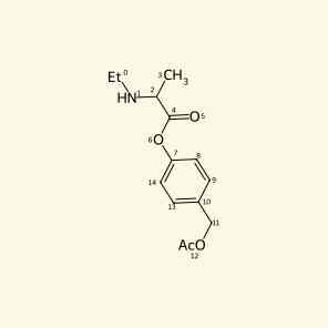 CCNC(C)C(=O)Oc1ccc(COC(C)=O)cc1